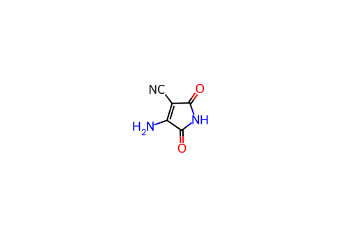 N#CC1=C(N)C(=O)NC1=O